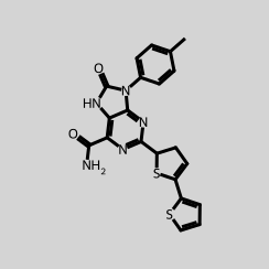 Cc1ccc(-n2c(=O)[nH]c3c(C(N)=O)nc(C4CC=C(c5cccs5)S4)nc32)cc1